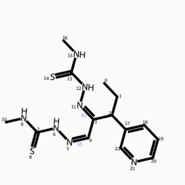 CCC(C(/C=N\NC(=S)NC)=N\NC(=S)NC)c1cccnc1